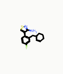 Nc1nscc1-c1ccc(F)cc1CC1CCCCC1